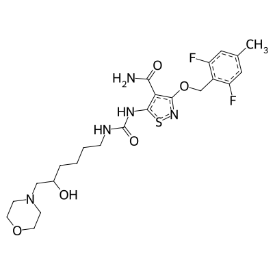 Cc1cc(F)c(COc2nsc(NC(=O)NCCCCC(O)CN3CCOCC3)c2C(N)=O)c(F)c1